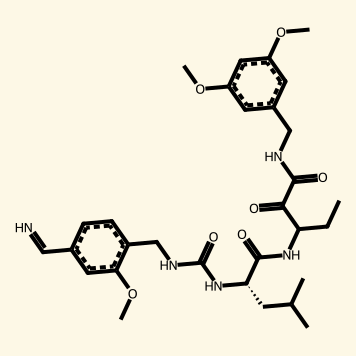 CCC(NC(=O)[C@H](CC(C)C)NC(=O)NCc1ccc(C=N)cc1OC)C(=O)C(=O)NCc1cc(OC)cc(OC)c1